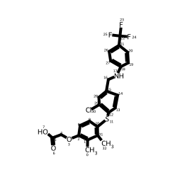 Cc1c(OCC(=O)O)ccc(Sc2ccc(CNc3ccc(C(F)(F)F)cc3)cc2Cl)c1C